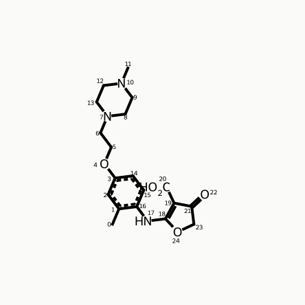 Cc1cc(OCCN2CCN(C)CC2)ccc1NC1=C(C(=O)O)C(=O)CO1